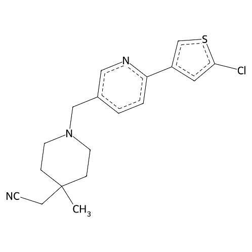 CC1(CC#N)CCN(Cc2ccc(-c3csc(Cl)c3)nc2)CC1